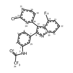 O=C(Nc1cccc(-c2nn3cccc(F)c3c2-c2ccnc(Cl)n2)c1)C(F)(F)F